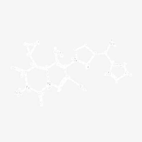 Cc1c(N2CCC(C(N)c3cocn3)C2)c(F)cn2c(=O)n(N)c(=O)c(C3CC3)c12